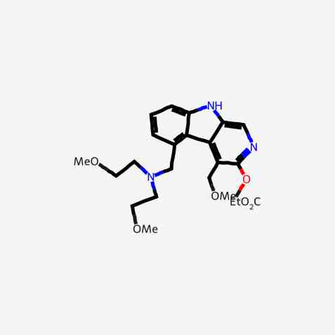 CCOC(=O)Oc1ncc2[nH]c3cccc(CN(CCOC)CCOC)c3c2c1COC